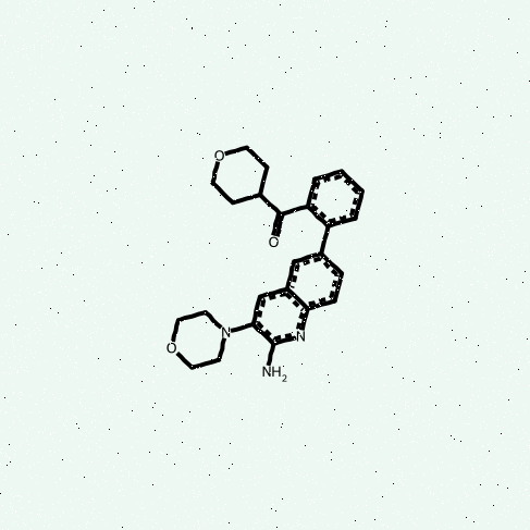 Nc1nc2ccc(-c3ccccc3C(=O)C3CCOCC3)cc2cc1N1CCOCC1